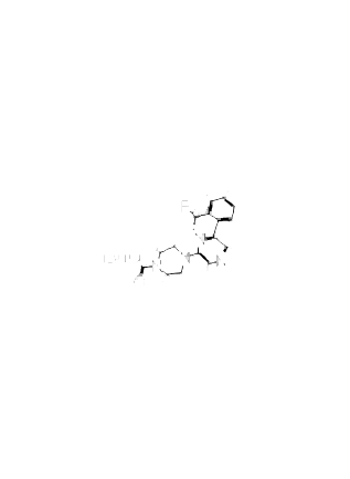 CC(C)COC(=O)N1CCN(c2cncc(-c3ccccc3C(F)F)n2)CC1